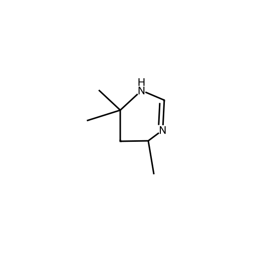 CC1CC(C)(C)NC=N1